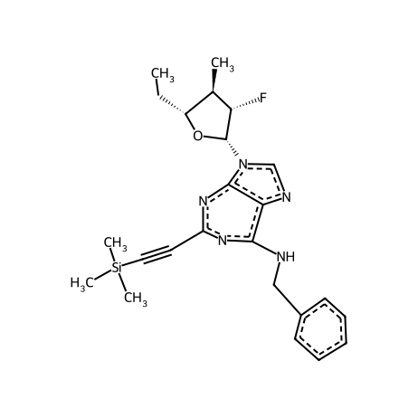 CC[C@H]1O[C@@H](n2cnc3c(NCc4ccccc4)nc(C#C[Si](C)(C)C)nc32)[C@@H](F)[C@@H]1C